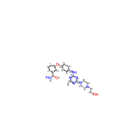 CNC(=O)c1cccc(Oc2ccc(Nc3nc(C)nc(N4CCN(CCO)CC4)n3)cc2)c1